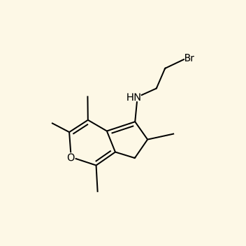 CC1=C(C)C2=C(NCCBr)C(C)CC2=C(C)O1